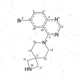 Brc1ccc2ncnc(N3CCC4(CC3)CNC4)c2c1